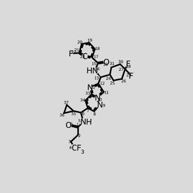 O=C(CCC(F)(F)F)NC(c1cnn2cc([C@@H](NC(=O)c3cccc(F)c3)C3CCC(F)(F)CC3)nc2c1)C1CC1